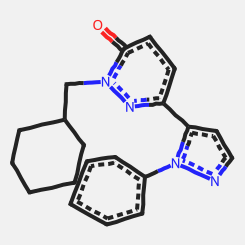 O=c1ccc(-c2ccnn2-c2ccccc2)nn1CC1CCCCC1